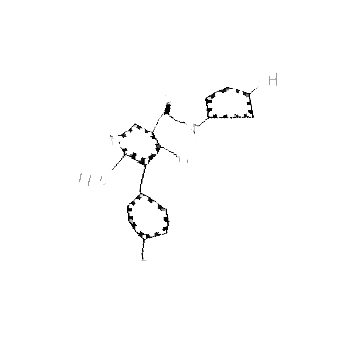 Cc1ncc(C(=O)Nc2ccc(O)cc2)c(O)c1-c1ccc(F)cc1